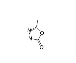 CC1=N[N]C(=O)O1